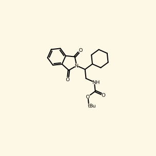 CC(C)(C)OC(=O)NCC(C1CCCCC1)N1C(=O)c2ccccc2C1=O